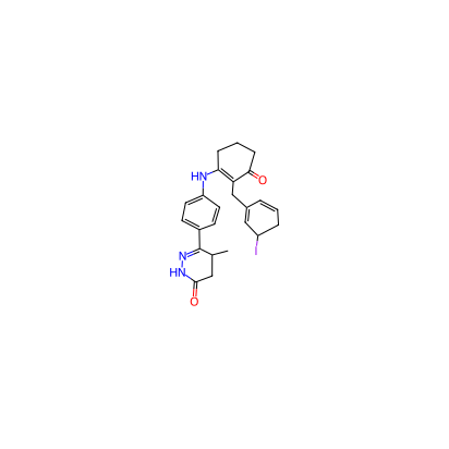 CC1CC(=O)NN=C1c1ccc(NC2=C(CC3=CC(I)CC=C3)C(=O)CCC2)cc1